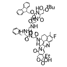 CC[C@@]1(O)C(=O)OCc2c1cc1n(c2=O)Cc2c-1nc1cc(F)c(C)c3c1c2[C@@H](NC(=O)CNC(=O)[C@H](Cc1ccccc1)NC(=O)CNC(=O)CNC(=O)[C@H](CC(=O)OC(C)(C)C)NC(=O)OCC1c2ccccc2-c2ccccc21)CC3